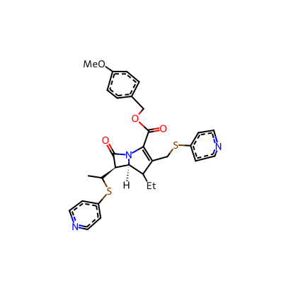 CCC1C(CSc2ccncc2)=C(C(=O)OCc2ccc(OC)cc2)N2C(=O)[C@H](C(C)Sc3ccncc3)[C@H]12